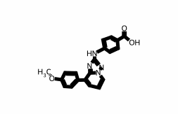 COc1ccc(-c2cccn3nc(Nc4ccc(C(=O)O)cc4)nc23)cc1